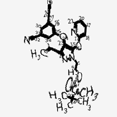 CCc1nn(CCO[Si](C)(C)C(C)(C)C)c(Oc2ccccn2)c1Oc1cc(C#N)cc(C#N)c1